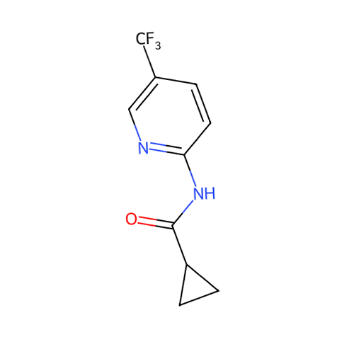 O=C(Nc1ccc(C(F)(F)F)cn1)C1CC1